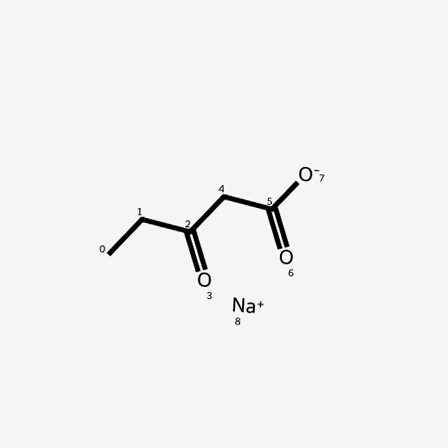 CCC(=O)CC(=O)[O-].[Na+]